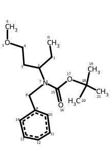 CCC(CCOC)N(Cc1ccccc1)C(=O)OC(C)(C)C